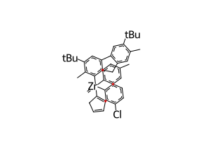 [CH2]=[Zr]([C]1=CC=CC1)([c]1ccc(C)cc1)([c]1cccc(Cl)c1)[c]1c(C)c(C(C)(C)C)cc2c1Cc1cc(C)c(C(C)(C)C)cc1-2